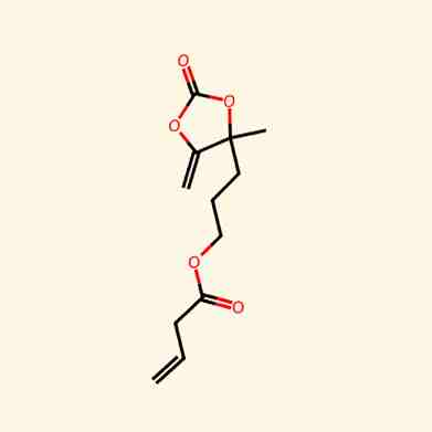 C=CCC(=O)OCCCC1(C)OC(=O)OC1=C